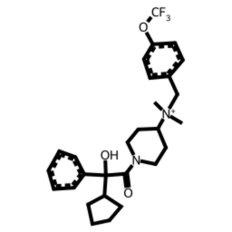 C[N+](C)(Cc1ccc(OC(F)(F)F)cc1)C1CCN(C(=O)C(O)(c2ccccc2)C2CCCC2)CC1